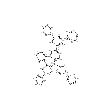 c1ccc(-c2ccc3c(c2)c2cc(-c4ccccc4)cc4c2n3-c2ccc(-c3nc(-c5ccccc5)nc(-c5ccccc5)n3)cc2-c2ccccc2-4)cc1